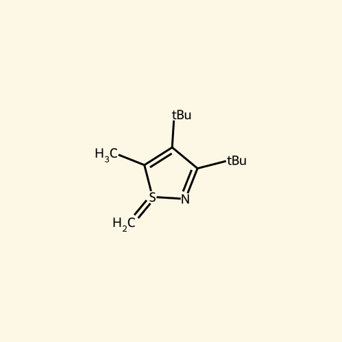 C=S1N=C(C(C)(C)C)C(C(C)(C)C)=C1C